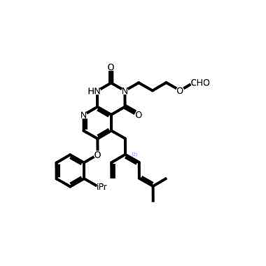 C=C/C(=C\C=C(C)C)Cc1c(Oc2ccccc2C(C)C)cnc2[nH]c(=O)n(CCCOC=O)c(=O)c12